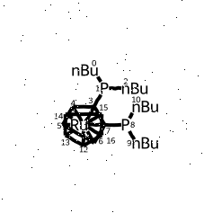 CCCCP(CCCC)[C]12[CH]3[CH]4[CH]5[C]1(P(CCCC)CCCC)[Ru]43521678[CH]2[CH]1[CH]6[CH]7[CH]28